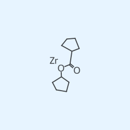 O=C(OC1CCCC1)C1CCCC1.[Zr]